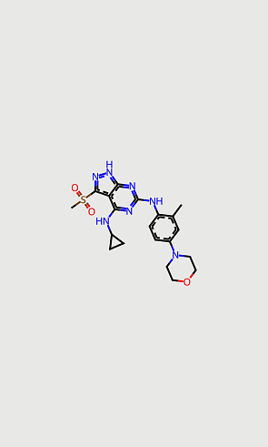 Cc1cc(N2CCOCC2)ccc1Nc1nc(NC2CC2)c2c(S(C)(=O)=O)n[nH]c2n1